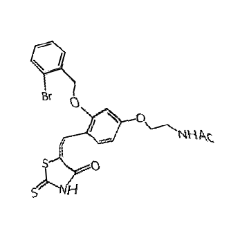 CC(=O)NCCOc1ccc(C=C2SC(=S)NC2=O)c(OCc2ccccc2Br)c1